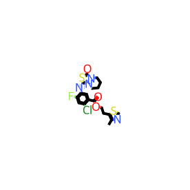 Cc1ncsc1CCOC(=O)c1cc(/N=c2/sc(=O)n3n2CCCC3)c(F)cc1Cl